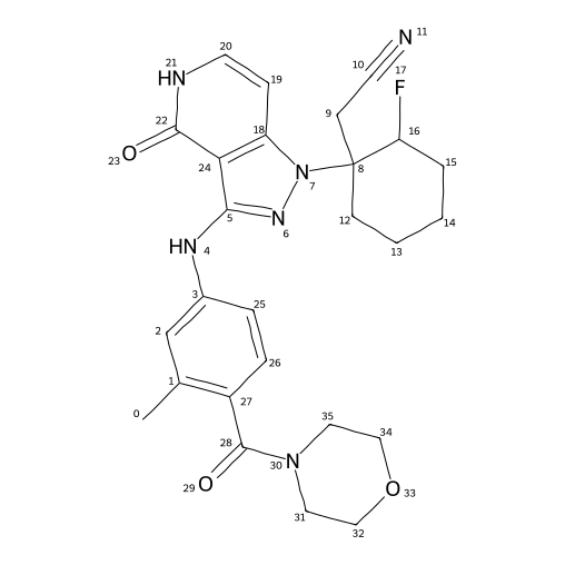 Cc1cc(Nc2nn(C3(CC#N)CCCCC3F)c3cc[nH]c(=O)c23)ccc1C(=O)N1CCOCC1